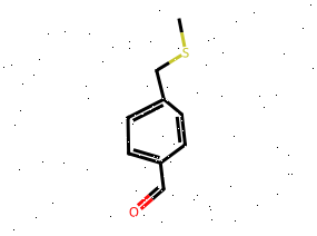 CSCc1ccc(C=O)cc1